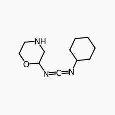 C(=NC1CCCCC1)=NC1CNCCO1